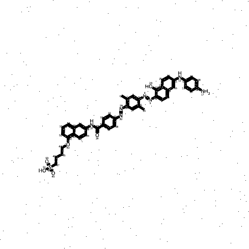 Cc1cc(N=Nc2ccc3cc(Nc4ccc(N)cc4)ccc3c2O)c(C)cc1N=Nc1ccc(C(=O)Nc2ccc3c(OCCCCS(=O)(=O)O)cccc3c2)cc1